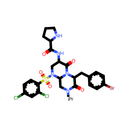 CC(C)N1CC2N(C(=O)C(NC(=O)C3CCCN3)CN2S(=O)(=O)c2ccc(Cl)cc2Cl)C(Cc2ccc(Br)cc2)C1=O